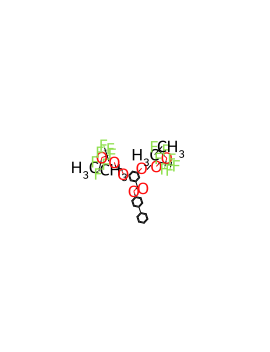 CC(C)(F)C(F)(F)OC(F)(COCCOc1cc(OCCOCC(F)(OC(F)(F)C(C)(C)F)C(F)(F)F)cc(C(=O)Oc2ccc(-c3ccccc3)cc2)c1)C(F)(F)F